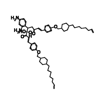 C=CCCCCCCC1CCC(COc2ccc(C=CC(=O)CC(c3ccc(N)cc3N)C(O)(O)C(=O)C=Cc3ccc(OCC4CCC(CCCCCCC=C)CC4)cc3)cc2)CC1